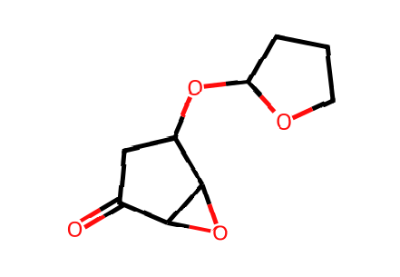 O=C1CC(OC2CCCO2)C2OC12